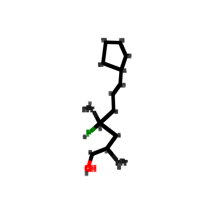 CCCC(CO)CC(F)(CCC)CCCC1CCCC1